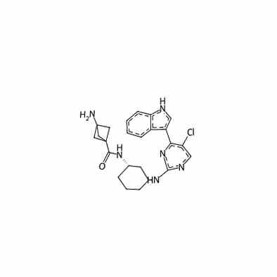 NC12CC(C(=O)N[C@H]3CCC[C@@H](Nc4ncc(Cl)c(-c5c[nH]c6ccccc56)n4)C3)(C1)C2